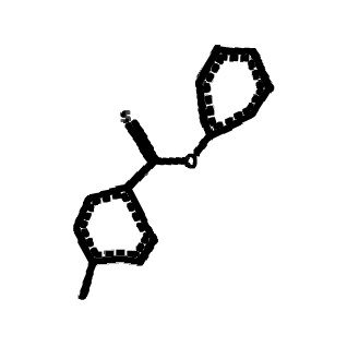 Cc1ccc(C(=S)Oc2ccccc2)cc1